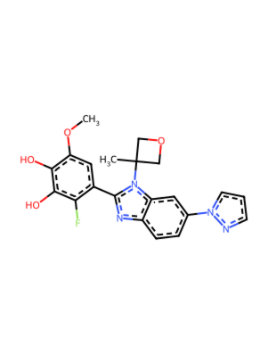 COc1cc(-c2nc3ccc(-n4cccn4)cc3n2C2(C)COC2)c(F)c(O)c1O